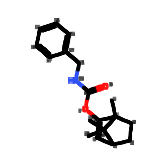 CC12CCC(C=C1OC(=O)NCc1ccccc1)C2(C)C